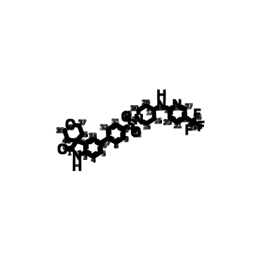 O=C1Nc2ccc(-c3ccc(S(=O)(=O)N4CCC(Nc5ccc(C(F)(F)F)cn5)CC4)cc3)cc2C12CCOCC2